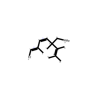 CC/C=C(C)/C=C\C(C)(CNC)C(C)=C(C)C